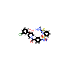 CNc1nc2c(S(=O)(=O)Nc3ccc(C(=O)N4CCC(O)(c5cccc(Cl)c5)CC4)cc3)cccc2s1